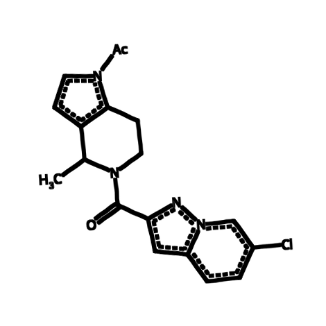 CC(=O)n1ccc2c1CCN(C(=O)c1cc3ccc(Cl)cn3n1)C2C